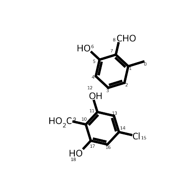 Cc1cccc(O)c1C=O.O=C(O)c1c(O)cc(Cl)cc1O